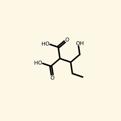 CCC(CO)C(C(=O)O)C(=O)O